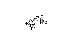 COCCNC(=O)c1ccc(/C=C/C(=O)c2c(O)cc(C)n(C)c2=O)s1